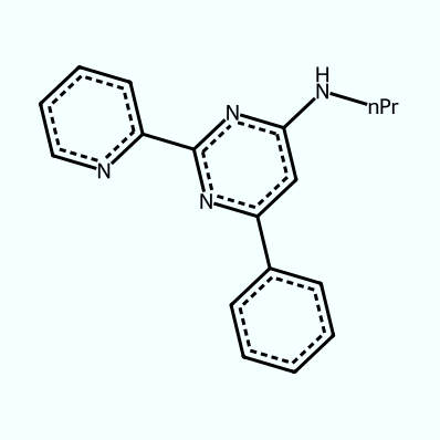 CCCNc1cc(-c2ccccc2)nc(-c2ccccn2)n1